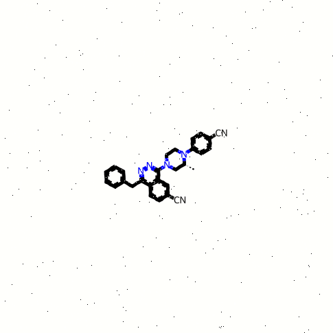 C[C@@H]1CN(c2nnc(Cc3ccccc3)c3ccc(C#N)cc23)CCN1c1ccc(C#N)cc1